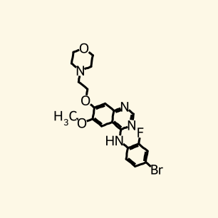 COc1cc2c(Nc3ccc(Br)cc3F)ncnc2cc1OCCN1CCOCC1